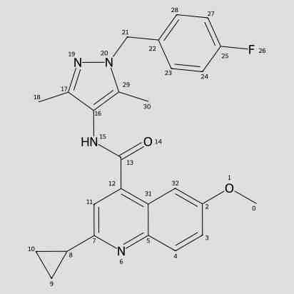 COc1ccc2nc(C3CC3)cc(C(=O)Nc3c(C)nn(Cc4ccc(F)cc4)c3C)c2c1